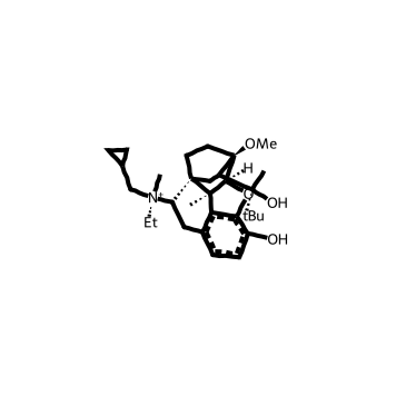 CC[N@@+](C)(CC1CC1)C1Cc2ccc(O)c3c2[C@]2(C)[C@H](O3)[C@@]3(OC)CC[C@]12CC3[C@@](C)(O)C(C)(C)C